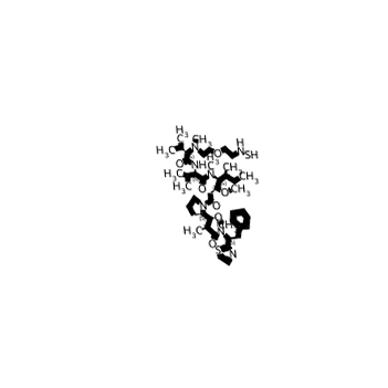 CC[C@H](C)[C@@H]([C@@H](CC(=O)N1CCC[C@H]1[C@H](OC)[C@@H](C)C(=O)N[C@@H](Cc1ccccc1)c1nccs1)OC)N(C)C(=O)[C@@H](NC(=O)[C@H](C(C)C)N(C)CCOCCNS)C(C)C